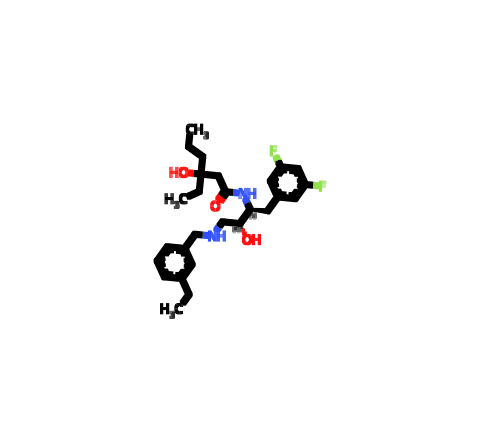 CCCC(O)(CC)CC(=O)N[C@@H](Cc1cc(F)cc(F)c1)[C@H](O)CNCc1cccc(CC)c1